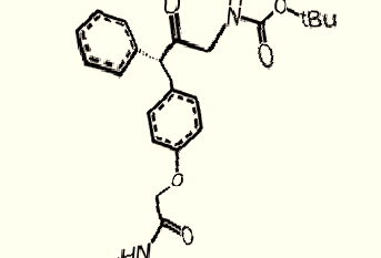 CC(C)(C)OC(=O)NCC(=O)[C@@H](c1ccccc1)c1ccc(OCC([NH])=O)cc1